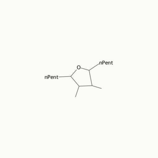 CCCCCC1OC(CCCCC)C(C)C1C